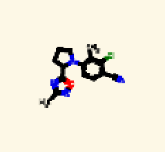 Cc1noc(C2CCCN2c2ccc(C#N)c(Cl)c2C)n1